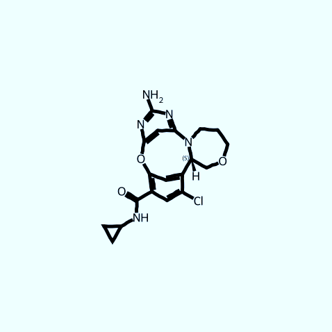 Nc1nc2cc(n1)N1CCCOC[C@@H]1c1cc(c(C(=O)NC3CC3)cc1Cl)O2